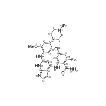 COc1cc(N2CCN(C(C)C)CC2)ccc1Nc1nc(Nc2cc(Cl)cc(F)c2C(N)=O)c2ccnc-2[nH]1